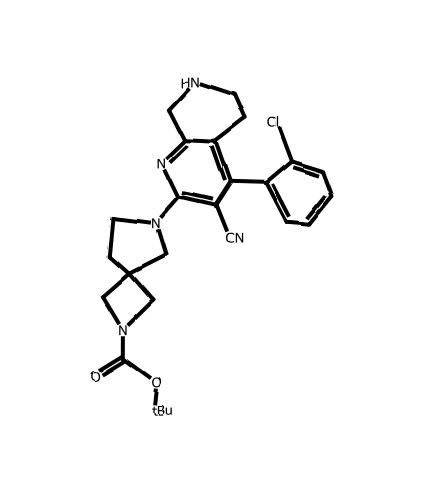 CC(C)(C)OC(=O)N1CC2(CCN(c3nc4c(c(-c5ccccc5Cl)c3C#N)CCNC4)C2)C1